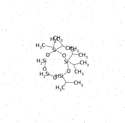 CC(C)[SiH]1O[SiH2]O[SiH2]O[Si](C(C)C)(C(C)C)O[Si](C(C)C)(C(C)C)O1